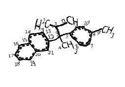 C[C](C)C(C)(c1ccc(C)cc1)c1ccc2ccccc2c1